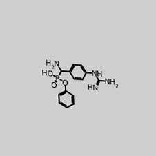 N=C(N)Nc1ccc(C(N)P(=O)(O)Oc2ccccc2)cc1